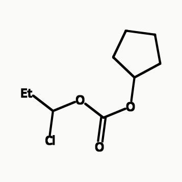 CCC(Cl)OC(=O)OC1CCCC1